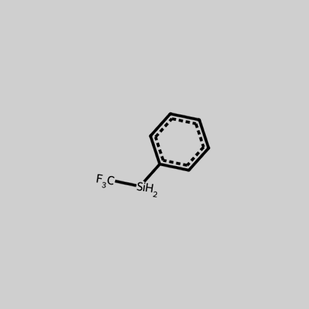 FC(F)(F)[SiH2]c1ccccc1